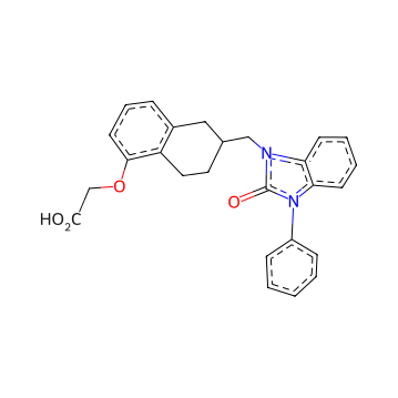 O=C(O)COc1cccc2c1CCC(Cn1c(=O)n(-c3ccccc3)c3ccccc31)C2